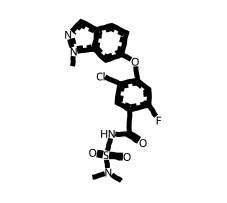 CN(C)S(=O)(=O)NC(=O)c1cc(Cl)c(Oc2ccc3cnn(C)c3c2)cc1F